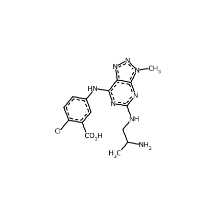 CC(N)CNc1nc(Nc2ccc(Cl)c(C(=O)O)c2)c2nnn(C)c2n1